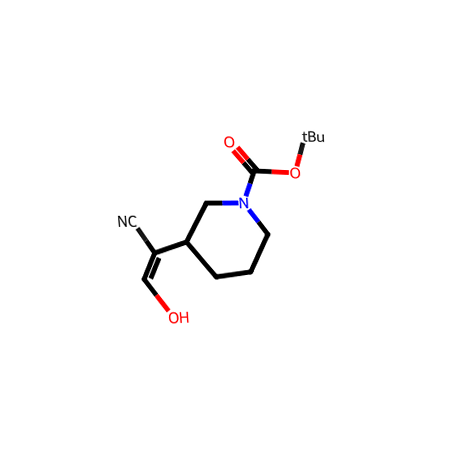 CC(C)(C)OC(=O)N1CCCC(/C(C#N)=C\O)C1